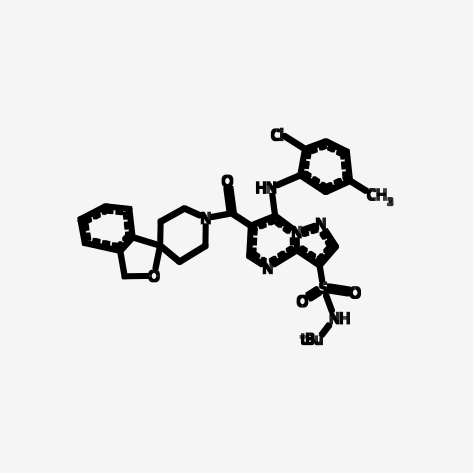 Cc1ccc(Cl)c(Nc2c(C(=O)N3CCC4(CC3)OCc3ccccc34)cnc3c(S(=O)(=O)NC(C)(C)C)cnn23)c1